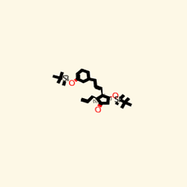 C=CC[C@@H]1C(=O)C[C@@H](O[Si](C)(C)C(C)(C)C)[C@@H]1C=CCC1CCC=C(O[Si](C)(C)C(C)(C)C)C1